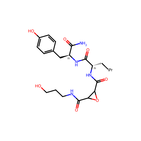 CC(C)C[C@H](NC(=O)C1OC1C(=O)NCCCO)C(=O)N[C@@H](Cc1ccc(O)cc1)C(N)=O